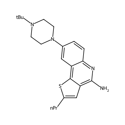 CCCc1cc2c(N)nc3ccc(N4CCN(C(C)(C)C)CC4)cc3c2s1